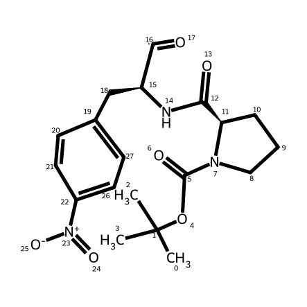 CC(C)(C)OC(=O)N1CCC[C@@H]1C(=O)N[C@H]([C]=O)Cc1ccc([N+](=O)[O-])cc1